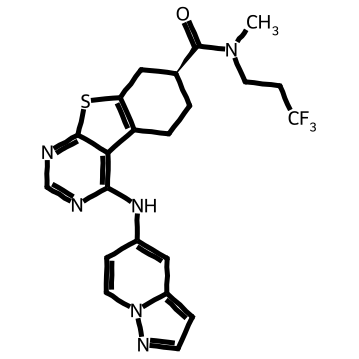 CN(CCC(F)(F)F)C(=O)[C@H]1CCc2c(sc3ncnc(Nc4ccn5nccc5c4)c23)C1